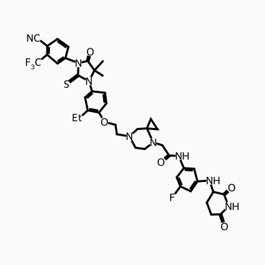 CCc1cc(N2C(=S)N(c3ccc(C#N)c(C(F)(F)F)c3)C(=O)C2(C)C)ccc1OCCN1CCN(CC(=O)Nc2cc(F)cc(NC3CCC(=O)NC3=O)c2)C2(CC2)C1